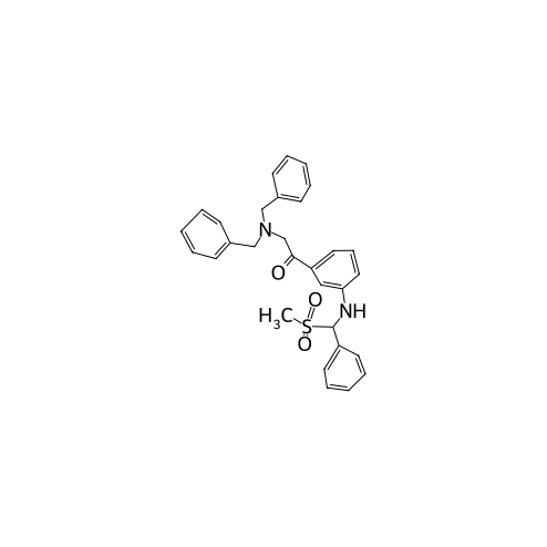 CS(=O)(=O)C(Nc1cccc(C(=O)CN(Cc2ccccc2)Cc2ccccc2)c1)c1ccccc1